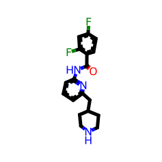 O=C(Nc1cccc(CC2CCNCC2)n1)c1ccc(F)cc1F